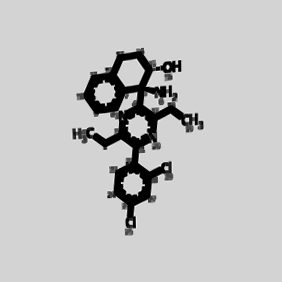 CCc1nc([C@]2(N)c3ccccc3CC[C@@H]2O)c(CC)nc1-c1ccc(Cl)cc1Cl